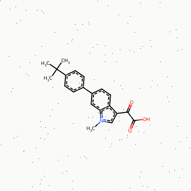 Cn1cc(C(=O)C(=O)O)c2ccc(-c3ccc(C(C)(C)C)cc3)cc21